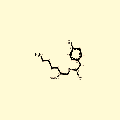 CN[C@@H](CCCCN)CN[C@@H](Cc1ccc(O)cc1)C(C)=O